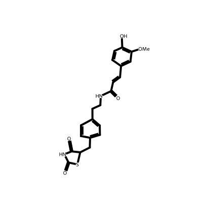 COc1cc(/C=C/C(=O)NCCc2ccc(CC3SC(=O)NC3=O)cc2)ccc1O